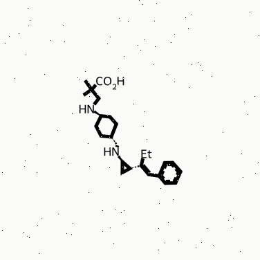 CC/C(=C\c1ccccc1)[C@@H]1C[C@H]1NC[C@H]1CC[C@H](NCC(C)(C)C(=O)O)CC1